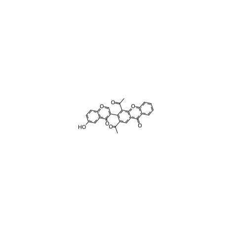 CC(=O)c1cc2c(=O)c3ccccc3oc2c(C(C)=O)c1-c1coc2ccc(O)cc2c1=O